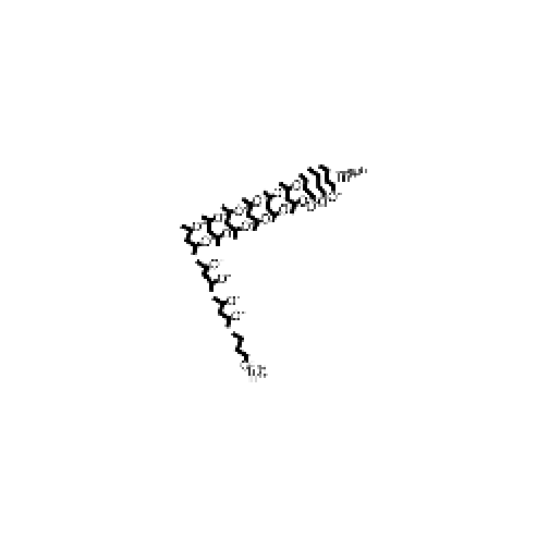 CC([O-])CC(C)[O-].CC([O-])CC(C)[O-].CC([O-])CC(C)[O-].CC([O-])CC(C)[O-].CC([O-])CC(C)[O-].CC([O-])CC(C)[O-].CC([O-])CC(C)[O-].CC([O-])CC(C)[O-].CCCC[O-].CCCC[O-].CCCC[O-].CCCC[O-].[Ti+4].[Ti+4].[Ti+4].[Ti+4].[Ti+4]